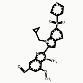 COc1cc(C=O)cc2nc(-c3cc4ccc(S(=O)(=O)c5ccncc5)cc4n3CC3CC3)n(C)c12